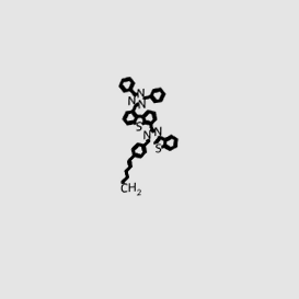 C=CCC/C=C/c1ccc(/C=N/C(=N\c2csc3ccccc23)c2cccc3c2sc2cccc(-c4nc(-c5ccccc5)nc(-c5ccccc5)n4)c23)cc1